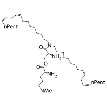 CCCCC/C=C\C/C=C\CCCCCCCCN(CCCCCCCC/C=C\C/C=C\CCCCC)C(=O)[C@@H](N)COC(=O)[C@@H](N)CCCNC